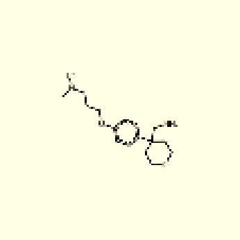 CCN(C)CCCOc1ccc(C2(CN)CCOCC2)cc1